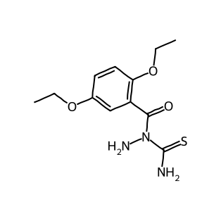 CCOc1ccc(OCC)c(C(=O)N(N)C(N)=S)c1